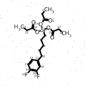 CCC(=O)O[Si](CCCCCc1ccc(F)c(F)c1)(OC(=O)CC)OC(=O)CC